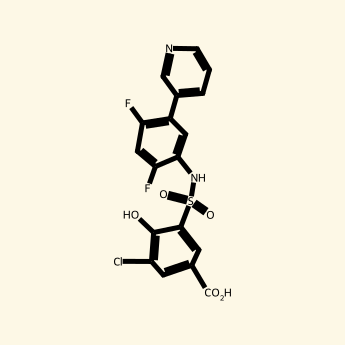 O=C(O)c1cc(Cl)c(O)c(S(=O)(=O)Nc2cc(-c3cccnc3)c(F)cc2F)c1